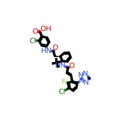 CC(C)(C)C1(NC(=O)/C=C/c2c(-n3ncnn3)ccc(Cl)c2F)C=CC=C[C@@H]1CC(=O)Nc1ccc(C(=O)O)c(Cl)c1